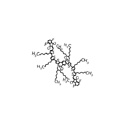 CCCCCCCCC(CCCCCC)Cn1c(=O)c2cc3c(cc2c2sc(-c4sc(-c5sc(C=C6C(=O)c7c(F)ccc(F)c7C6=O)cc5CCCCCC)cc4CCCCCC)cc21)c(=O)n(CC(CCCCCC)CCCCCCCC)c1cc(-c2sc(-c4sc(C=C5C(=O)c6c(F)ccc(F)c6C5=O)cc4CCCCCC)cc2CCCCCC)sc31